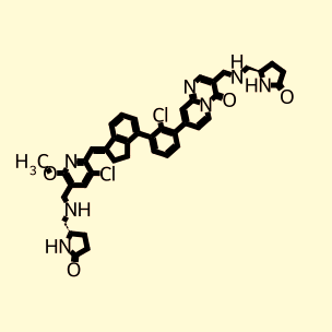 COc1nc(/C=C2\CCc3c2cccc3-c2cccc(-c3ccn4c(=O)c(CNC[C@H]5CCC(=O)N5)cnc4c3)c2Cl)c(Cl)cc1CNC[C@@H]1CCC(=O)N1